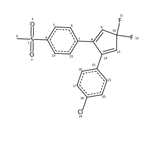 CS(=O)(=O)c1ccc(C2=CC(F)(F)C=C2c2ccc(Cl)cc2)cc1